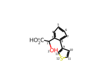 O=C(O)C(O)c1ccccc1-c1ccsc1